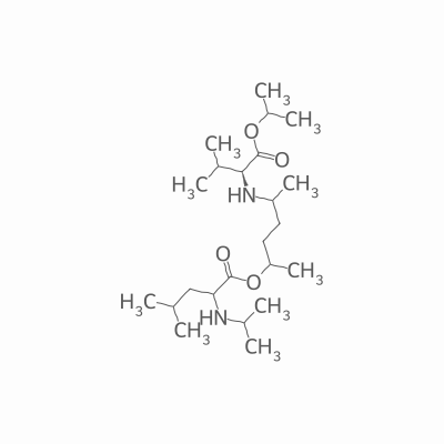 CC(C)CC(NC(C)C)C(=O)OC(C)CCC(C)N[C@H](C(=O)OC(C)C)C(C)C